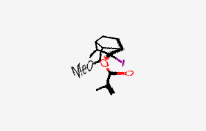 C=C(C)C(=O)OC1(I)C(C)C2CCC1C2COC